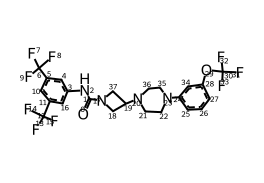 O=C(Nc1cc(C(F)(F)F)cc(C(F)(F)F)c1)N1CC(N2CCN(c3cccc(OC(F)(F)F)c3)CC2)C1